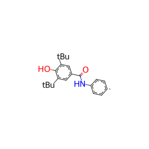 CC(C)(C)c1cc(C(=O)Nc2cc[c]cc2)cc(C(C)(C)C)c1O